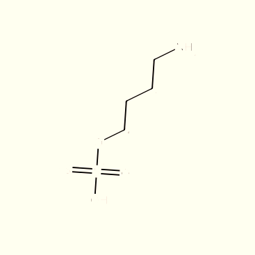 NCCCCOS(=O)(O)=S